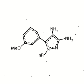 CCCn1nc(N)c(N)c1-c1cccc(OC)c1